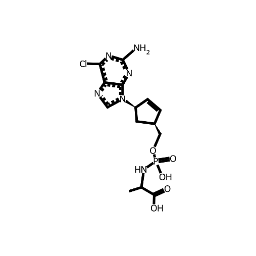 CC(NP(=O)(O)OC[C@@H]1C=C[C@H](n2cnc3c(Cl)nc(N)nc32)C1)C(=O)O